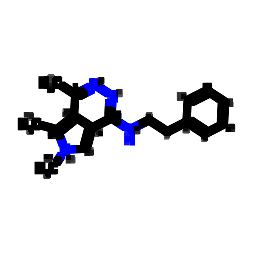 Cc1nnc(NCCc2ccccc2)c2cn(C)c(C)c12